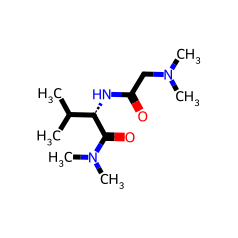 CC(C)[C@H](NC(=O)CN(C)C)C(=O)N(C)C